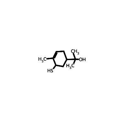 CC1=CCC(C(C)(C)O)CC1S